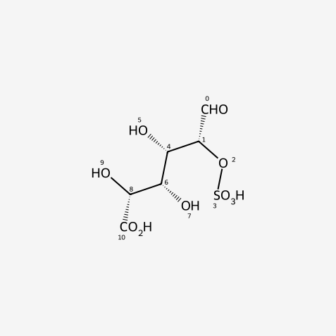 O=C[C@H](OS(=O)(=O)O)[C@@H](O)[C@H](O)[C@@H](O)C(=O)O